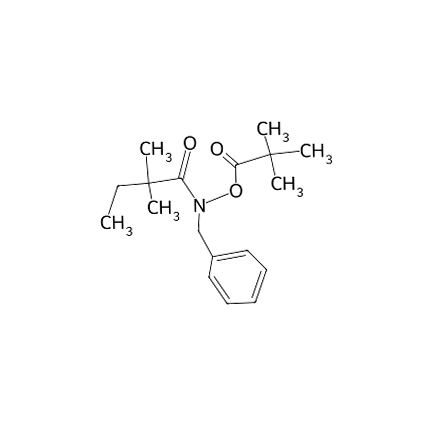 CCC(C)(C)C(=O)N(Cc1ccccc1)OC(=O)C(C)(C)C